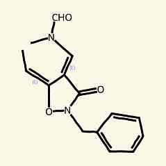 C/C=c1/on(Cc2ccccc2)c(=O)/c1=C/N(C)C=O